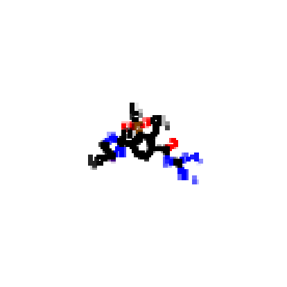 CCc1c(C(=O)N=C(N)N)ccc(C2(C)N=CC(C)(I)N2)c1S(C)(=O)=O